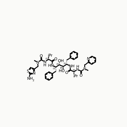 CC(C)[C@H](NC(=O)N(C)Cc1csc(N)n1)C(=O)N[C@@H](Cc1ccccc1)[C@H](O)[C@H](O)[C@H](Cc1ccccc1)NC(=O)[C@@H](NC(=O)N(C)Cc1ccccn1)C(C)C